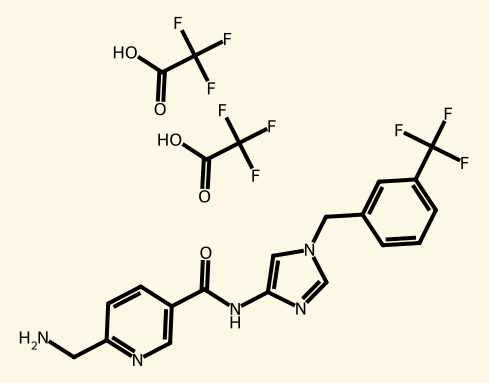 NCc1ccc(C(=O)Nc2cn(Cc3cccc(C(F)(F)F)c3)cn2)cn1.O=C(O)C(F)(F)F.O=C(O)C(F)(F)F